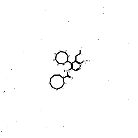 CNc1ncc(NC(=O)C2CCCCCCCC2)c(C2CCCCCCC2)c1CCI